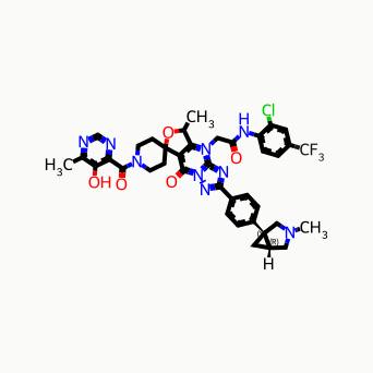 Cc1ncnc(C(=O)N2CCC3(CC2)OC(C)c2c3c(=O)n3nc(-c4ccc([C@]56C[C@H]5CN(C)C6)cc4)nc3n2CC(=O)Nc2ccc(C(F)(F)F)cc2Cl)c1O